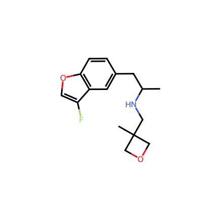 CC(Cc1ccc2occ(F)c2c1)NCC1(C)COC1